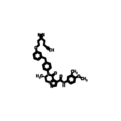 C#CCCC1(CCOc2cccc(Cc3ccc(N4C(=O)c5c(C(=O)Nc6ccc(OC)c(C)c6)cnn5C[C@@H]4C)cc3)c2)N=N1